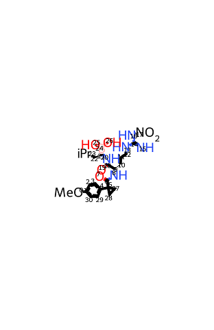 COc1ccc(C2(C(=O)N[C@@H](CCCNC(=N)N[N+](=O)[O-])C(=O)N[C@@H](CC(C)C)B(O)O)CC2)cc1